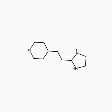 C1CC(CCC2NCCN2)CCN1